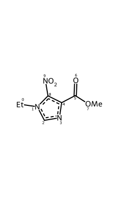 CCn1cnc(C(=O)OC)c1[N+](=O)[O-]